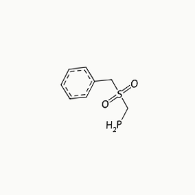 O=S(=O)(CP)Cc1ccccc1